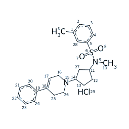 Cc1cccc(S(=O)(=O)N(C)C2CCC(N3CC=C(c4ccccc4)CC3)C2)c1.Cl